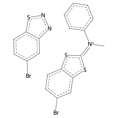 Brc1ccc2snnc2c1.C[N+](c1ccccc1)=c1sc2ccc(Br)cc2s1